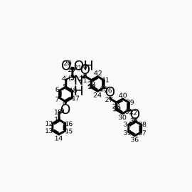 O=C(N[C@@H](Cc1ccc(OCc2ccccc2)cc1)C(=O)O)c1ccc(OCc2ccc(Oc3ccccc3)cc2)cc1